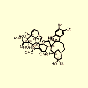 CCc1cc2c(cc1C(C)=O)BC1=C2CCN2C[C@H](C[C@@](O)(CC)C2)C[C@]1(C(=O)OC)C1C=C2C(=CC1OC)N(C=O)[C@H]1[C@@](O)(C(=O)OC)[C@H](OC(C)=O)[C@]3(CC)C=CCN4CC[C@]21[C@@H]43